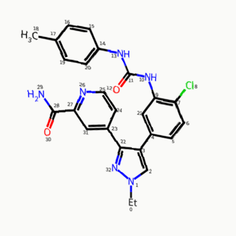 CCn1cc(-c2ccc(Cl)c(NC(=O)Nc3ccc(C)cc3)c2)c(-c2ccnc(C(N)=O)c2)n1